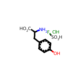 Cl.NC(Cc1ccc(O)cc1)C(=O)O.O=S(=O)(O)F